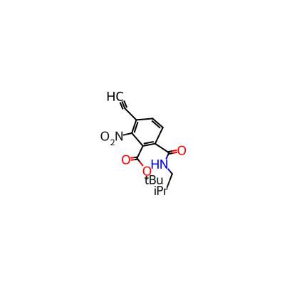 C#Cc1ccc(C(=O)NCC(C)C)c(C(=O)OC(C)(C)C)c1[N+](=O)[O-]